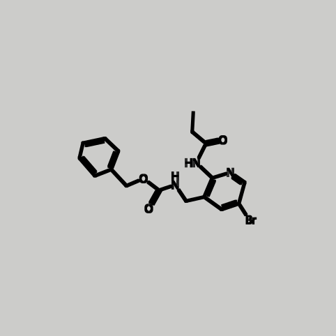 CCC(=O)Nc1ncc(Br)cc1CNC(=O)OCc1ccccc1